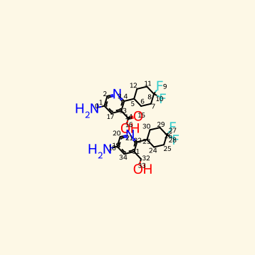 Nc1cnc(C2CCC(F)(F)CC2)c(C(=O)O)c1.Nc1cnc(C2CCC(F)(F)CC2)c(CO)c1